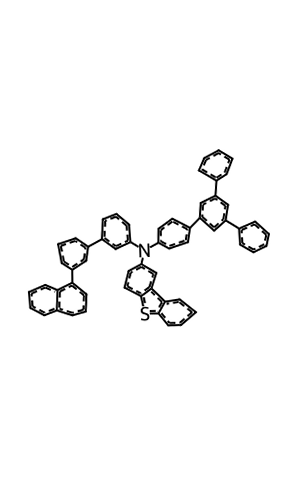 c1ccc(-c2cc(-c3ccccc3)cc(-c3ccc(N(c4cccc(-c5cccc(-c6cccc7ccccc67)c5)c4)c4ccc5sc6ccccc6c5c4)cc3)c2)cc1